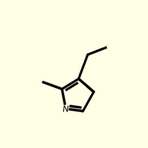 CCC1=C(C)N=CC1